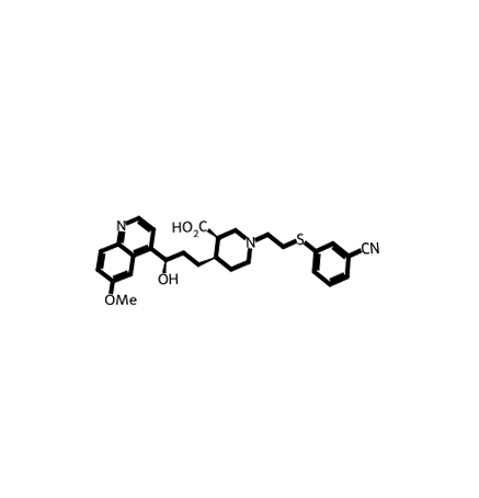 COc1ccc2nccc([C@H](O)CC[C@@H]3CCN(CCSc4cccc(C#N)c4)C[C@@H]3C(=O)O)c2c1